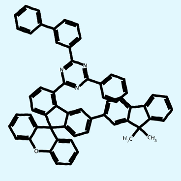 CC1(C)c2ccccc2-c2ccc(-c3ccc4c(c3)-c3c(-c5nc(-c6ccccc6)nc(-c6cccc(-c7ccccc7)c6)n5)cccc3C43c4ccccc4Oc4ccccc43)cc21